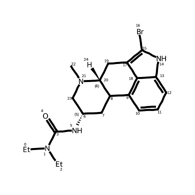 CCN(CC)C(=O)N[C@H]1CC2c3cccc4[nH]c(Br)c(c34)C[C@H]2N(C)C1